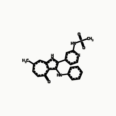 Cc1ccc(=O)c2c(Nc3ccccc3)c(-c3ccnc(NS(C)(=O)=O)c3)[nH]c2c1